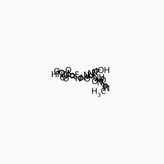 Cc1cc(-c2nc(C(=O)Nc3cc4oc(N5CCN(Cc6cc7c(cc6F)C(=O)N(C6CCC(=O)NC6=O)C7=O)CC5)nc4nc3N3CC[C@@H](O)C3)co2)ccn1